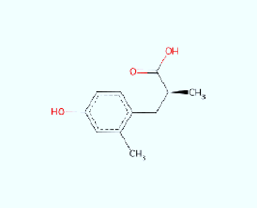 Cc1cc(O)ccc1C[C@H](C)C(=O)O